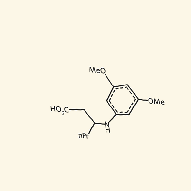 CCCC(CC(=O)O)Nc1cc(OC)cc(OC)c1